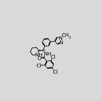 Cn1cc(-c2cccc([C@H](NC(=O)c3c(Cl)cc(Cl)cc3Cl)[C@@H]3CCCCN3)c2)cn1